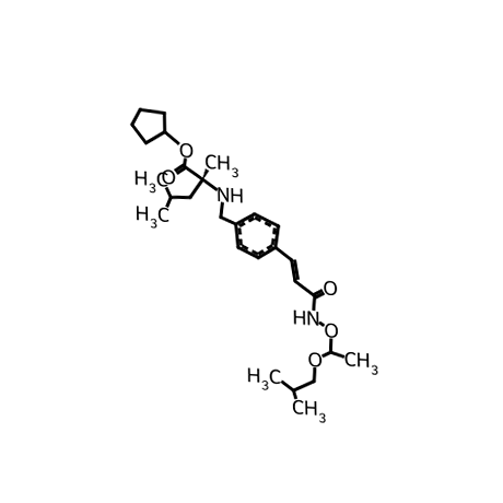 CC(C)COC(C)ONC(=O)/C=C/c1ccc(CN[C@](C)(CC(C)C)C(=O)OC2CCCC2)cc1